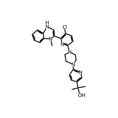 CN1C(c2nc(N3CCN(c4ccc(C(C)(C)O)cn4)CC3)ccc2Cl)=CNc2ccccc21